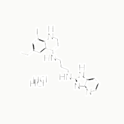 CCc1cc(I)c2c(c1)C(NCCCNc1nc3ncccc3[nH]1)CCN2.Cl.Cl